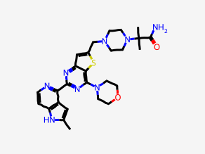 Cc1cc2c(-c3nc(N4CCOCC4)c4sc(CN5CCN(C(C)(C)C(N)=O)CC5)cc4n3)nccc2[nH]1